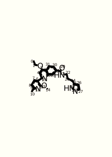 CCOc1cc(-c2ccc(C)nc2OC)nc2cc(C(=O)NCCCc3ccn[nH]3)ccc12